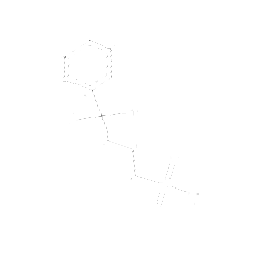 O=S(=O)(O)CCCC(Cl)(Cl)c1ccccc1